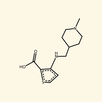 CN1CCC(CNc2ccsc2C(=O)O)CC1